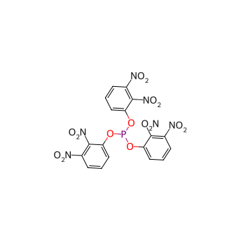 O=[N+]([O-])c1cccc(OP(Oc2cccc([N+](=O)[O-])c2[N+](=O)[O-])Oc2cccc([N+](=O)[O-])c2[N+](=O)[O-])c1[N+](=O)[O-]